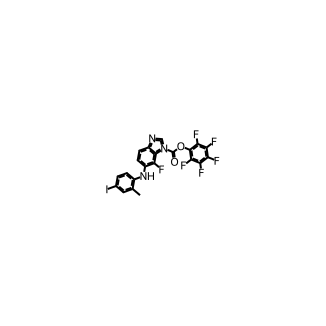 Cc1cc(I)ccc1Nc1ccc2ncn(C(=O)Oc3c(F)c(F)c(F)c(F)c3F)c2c1F